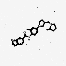 Cc1cc(N2CCC(CN3CCCC3C)C2)ccc1NC(=O)c1ccc2cc[nH]c2c1